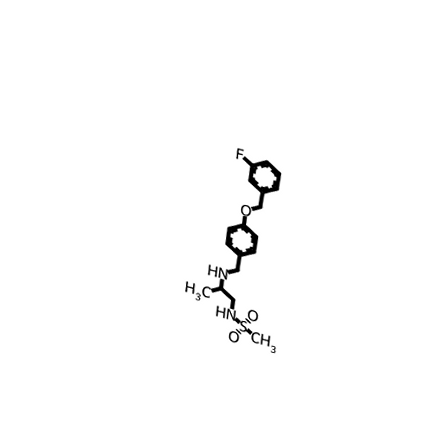 CC(CNS(C)(=O)=O)NCc1ccc(OCc2cccc(F)c2)cc1